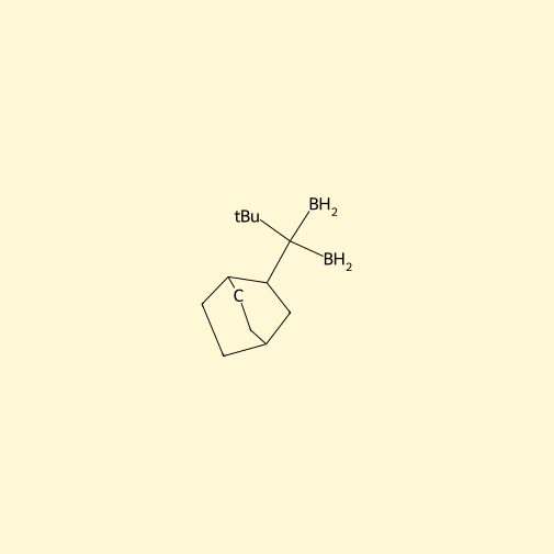 BC(B)(C1CC2CCC1CC2)C(C)(C)C